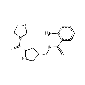 Nc1ccccc1C(=O)NC[C@@H]1CN[C@H](C(=O)N2CCSC2)C1